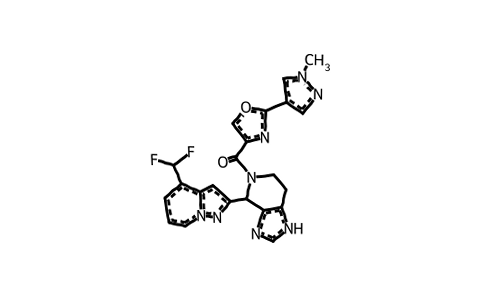 Cn1cc(-c2nc(C(=O)N3CCc4[nH]cnc4C3c3cc4c(C(F)F)cccn4n3)co2)cn1